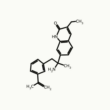 C=C(C)c1cccc(CC(C)(N)c2ccc3cc(CC)c(=O)[nH]c3c2)c1